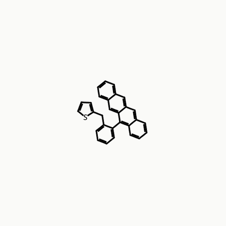 c1csc(Cc2ccccc2-c2c3ccccc3cc3cc4ccccc4cc23)c1